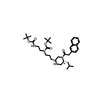 CC(C)C[C@@H]1CN[C@@H](CCCN(CCNC(=O)OC(C)(C)C)C(=O)OC(C)(C)C)CN1C(=O)Cc1ccc2ccccc2c1